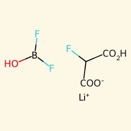 O=C([O-])C(F)C(=O)O.OB(F)F.[Li+]